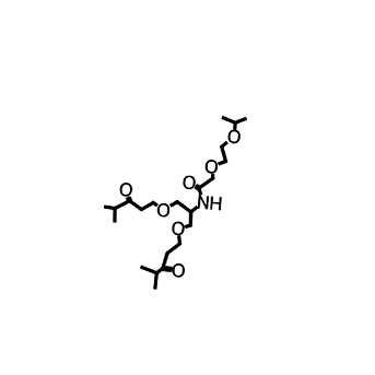 CC(C)OCCOCC(=O)NC(COCCC(=O)C(C)C)COCCC(=O)C(C)C